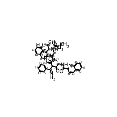 CCCCOC(CN(Cc1ccccc1)NC(=O)[C@@H](NC(=O)OC)C(C)C)C(C(=O)[C@H](CC(N)=O)NC(=O)c1ccc2ccccc2n1)C(N)c1ccccc1